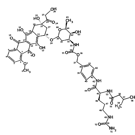 COc1cccc2c1C(=O)c1c(O)c3c(c(O)c1C2=O)C[C@@](O)(C(=O)CO)C[C@@H]3OC1C[C@H](NC(=O)OCc2ccc(NC(=O)[C@H](CCCNC(N)=O)NC(=O)CC(C)C)cc2)[C@H](O)[C@H](C)O1